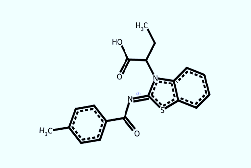 CCC(C(=O)O)n1/c(=N/C(=O)c2ccc(C)cc2)sc2ccccc21